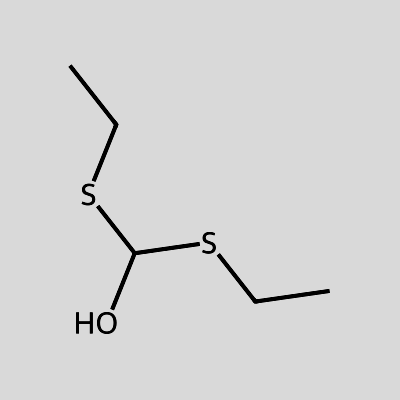 CCSC(O)SCC